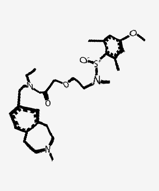 CCN(Cc1ccc2c(c1)CCN(C)CC2)C(=O)COCCN(C)[S+]([O-])c1c(C)cc(OC)cc1C